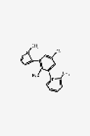 Cc1c(-c2cccn2C)cc(C#N)cc1-[n+]1ccccc1C